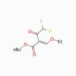 CCCCOC(=O)C(=COCC)C(=O)C(F)F